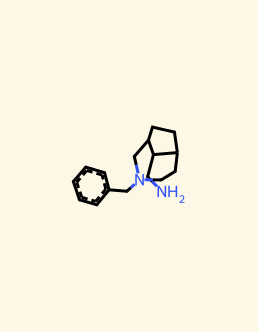 NCC1C2CCC1CN(Cc1ccccc1)CC2